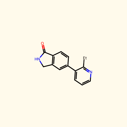 CCc1ncccc1-c1ccc2c(c1)CNC2=O